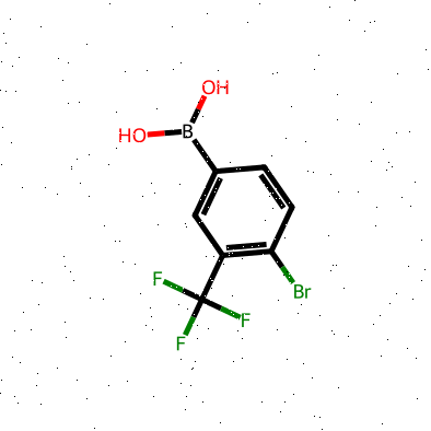 OB(O)c1ccc(Br)c(C(F)(F)F)c1